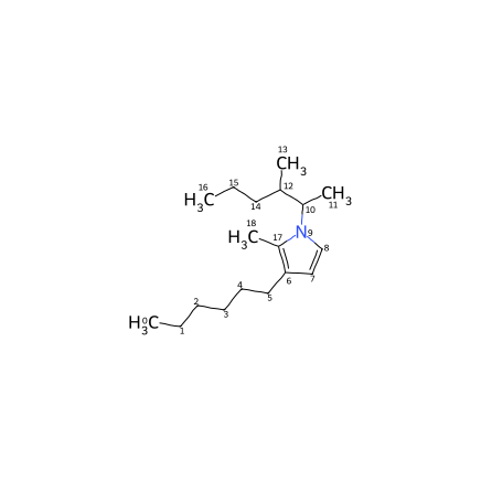 CCCCCCc1ccn(C(C)C(C)CCC)c1C